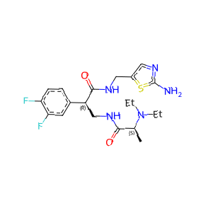 CCN(CC)[C@@H](C)C(=O)NC[C@H](C(=O)NCc1cnc(N)s1)c1ccc(F)c(F)c1